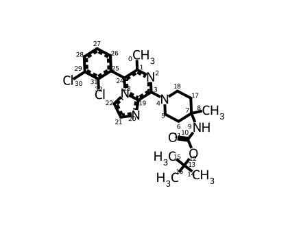 Cc1nc(N2CCC(C)(NC(=O)OC(C)(C)C)CC2)c2nccn2c1-c1cccc(Cl)c1Cl